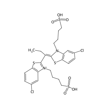 CCC(=C1Sc2ccc(Cl)cc2N1CCCCS(=O)(=O)O)c1sc2ccc(Cl)cc2[n+]1CCCCS(=O)(=O)O